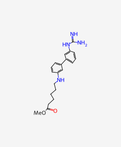 COC(=O)CCCCCNc1cccc(-c2cccc(NC(=N)N)c2)c1